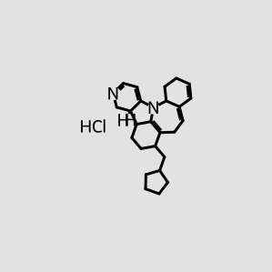 C1=CC2=CCC3=C4[C@H](CCC3CC3CCCC3)[C@H]3CN=CC=C3N4C2CC1.Cl